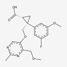 COCc1nc(C)ncc1OC[C@@]1(c2cc(F)cc(OC)c2)C[C@H]1C(=O)O